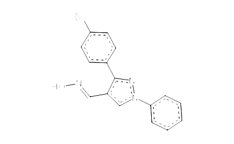 O/N=C/c1cn(-c2ccccc2)nc1-c1ccc(Br)cc1